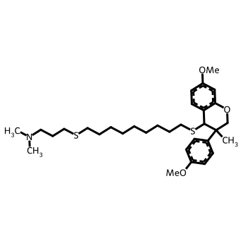 COc1ccc(C2(C)COc3cc(OC)ccc3C2SCCCCCCCCCSCCCN(C)C)cc1